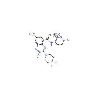 Cc1cc([C@@H](C)Nc2ccc(Cl)nc2C(=O)O)c2nc(N3CCC(F)(F)CC3)c(Cl)nc2c1